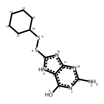 Nc1nc(O)c2[nH]c(SSC3CCCCC3)nc2n1